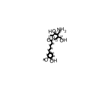 COc1cc(/C=C/C=C/C(=O)N2C=C(CO)C(CN)=C(O)C2C)ccc1O